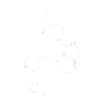 CNS(=O)(=O)c1cccc(Nc2ncnc3[nH]cc(-c4ccc(CN)cc4)c23)c1